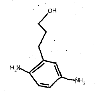 Nc1ccc(N)c(CCCO)c1